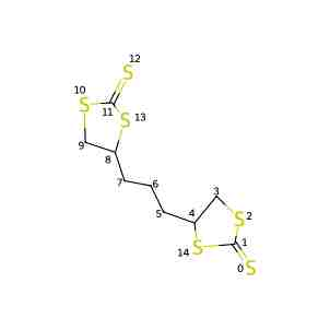 S=C1SCC(CCCC2CSC(=S)S2)S1